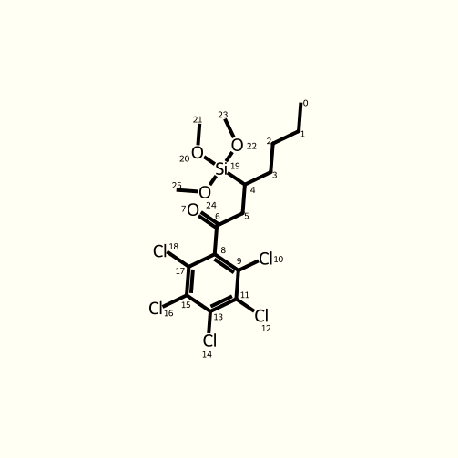 CCCCC(CC(=O)c1c(Cl)c(Cl)c(Cl)c(Cl)c1Cl)[Si](OC)(OC)OC